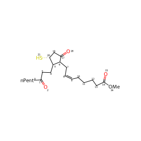 CCCCCC(=O)CCC1C(C/C=C\CCCCC(=O)OC)C(=O)C[C@H]1S